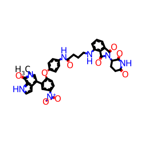 Cn1cc(-c2cc([N+](=O)[O-])ccc2Oc2ccc(NC(=O)CCCNc3cccc4c3C(=O)N(C3CCC(=O)NC3=O)C4=O)cc2)c2cc[nH]c2c1=O